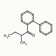 CCC(C)C(=O)c1ccccc1-c1ccccc1